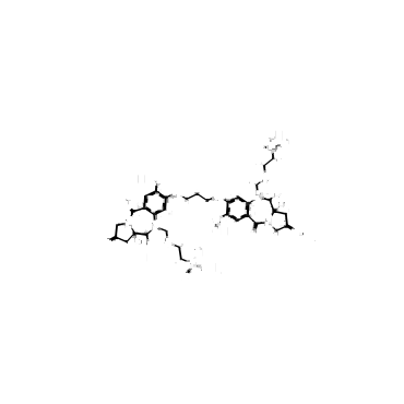 C=C1C[C@H]2C(O)N(COCC[Si](C)(C)C)c3cc(OCCCOc4cc5c(cc4OC)C(=O)N4CC(=C)C[C@H]4C(O)N5COCC[Si](C)(C)C)c(C)cc3C(=O)N2C1